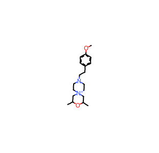 COc1ccc(CCN2CC[N+]3(CC2)CC(C)OC(C)C3)cc1